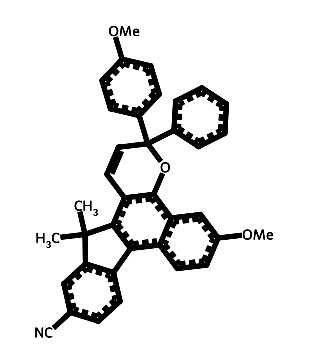 COc1ccc(C2(c3ccccc3)C=Cc3c4c(c5ccc(OC)cc5c3O2)-c2ccc(C#N)cc2C4(C)C)cc1